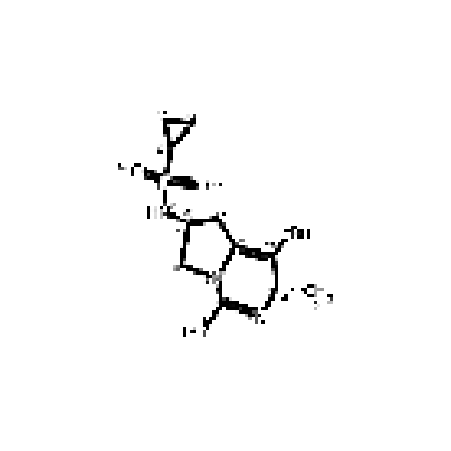 C[C@@H]1N=C(C(C)(C)C)N2C[C@@H](NS(=O)(=O)C3CC3)CC2=C1C(C)(C)C